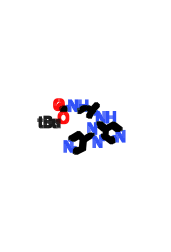 CC(C)(CCNC(=O)OC(C)(C)C)Nc1nc(-c2ccncc2)nc2cnccc12